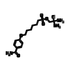 NC(=O)c1ccc(OCCCCCCS(=O)(=O)OCC([SiH3])([SiH3])Cl)cc1